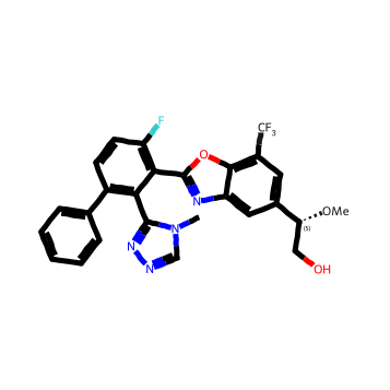 CO[C@H](CO)c1cc(C(F)(F)F)c2oc(-c3c(F)ccc(-c4ccccc4)c3-c3nncn3C)nc2c1